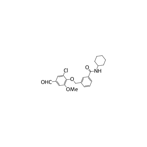 COc1cc(C=O)cc(Cl)c1OCc1cccc(C(=O)NC2CCCCC2)c1